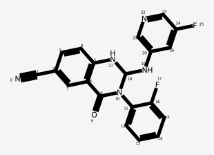 N#Cc1ccc2c(c1)C(=O)N(c1ccccc1F)C(Nc1cncc(F)c1)N2